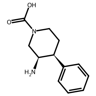 N[C@H]1CN(C(=O)O)CC[C@H]1c1ccccc1